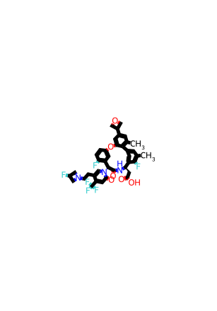 Cc1cc2cc(c1F)[C@@H](CC(=O)O)NC(=O)[C@H](n1cc(CCN3CC(F)C3)c(C(F)(F)F)cc1=O)c1cc(ccc1F)Oc1cc(C3COC3)cc(C)c1-2